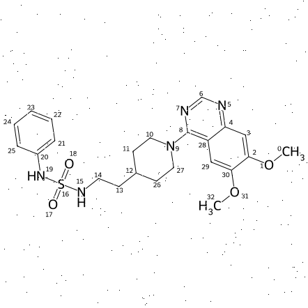 COc1cc2ncnc(N3CCC(CCNS(=O)(=O)Nc4ccccc4)CC3)c2cc1OC